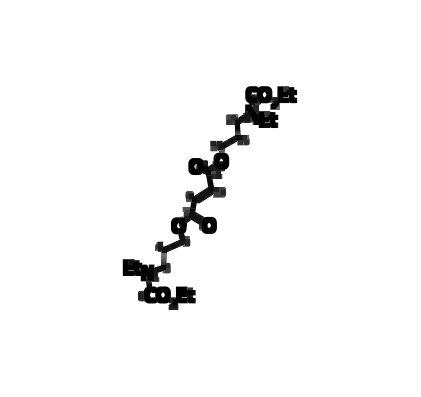 CCOC(=O)N(CC)CCCOC(=O)/C=C/C(=O)OCCCN(CC)C(=O)OCC